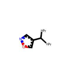 CCCC(CCC)c1cnoc1